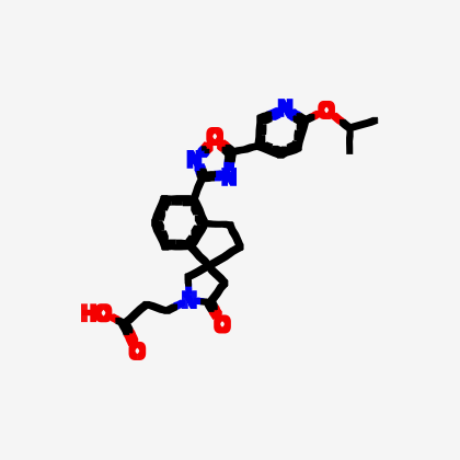 CC(C)Oc1ccc(-c2nc(-c3cccc4c3CCC43CC(=O)N(CCC(=O)O)C3)no2)cn1